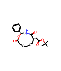 CC(C)(C)OC(=O)C[C@@H]1CCCCCC(=O)O[C@H](c2ccccc2)CNC1=O